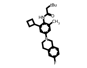 Cc1cc(N2CCc3cc(F)ccc3C2)cc(C2CCC2)c1NC(=O)CC(C)(C)C